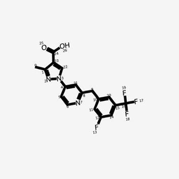 Cc1nn(-c2ccnc(Cc3cc(F)cc(C(F)(F)F)c3)c2)cc1C(=O)O